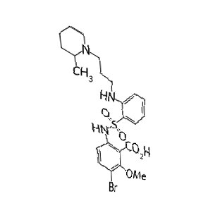 COc1c(Br)ccc(NS(=O)(=O)c2ccccc2NCCCN2CCCCC2C)c1C(=O)O